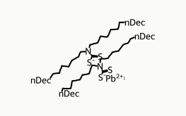 CCCCCCCCCCCCCCCCCN(CCCCCCCCCCCCCCCCC)C(=S)[S-].CCCCCCCCCCCCCCCCCN(CCCCCCCCCCCCCCCCC)C(=S)[S-].[Pb+2]